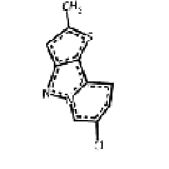 Cc1cc2nn3cc(Cl)ccc3c2s1